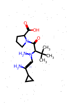 CC(C)(C)C(C(=O)N1CCCC1C(=O)O)N(N)/C=C(\N)C1CC1